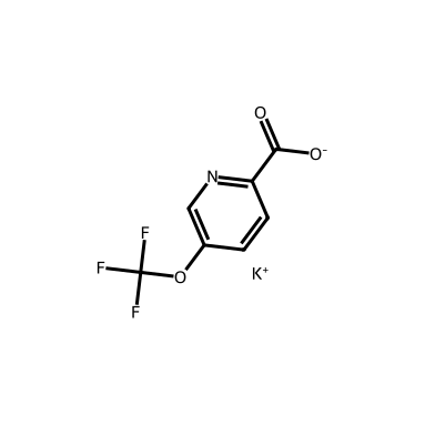 O=C([O-])c1ccc(OC(F)(F)F)cn1.[K+]